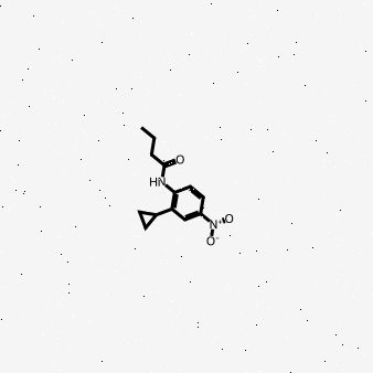 CCCC(=O)Nc1ccc([N+](=O)[O-])cc1C1CC1